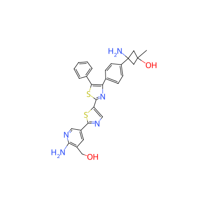 CC1(O)CC(N)(c2ccc(-c3nc(-c4cnc(-c5cnc(N)c(CO)c5)s4)sc3-c3ccccc3)cc2)C1